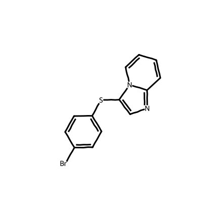 Brc1ccc(Sc2cnc3ccccn23)cc1